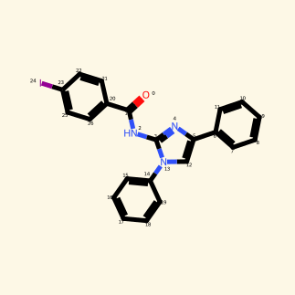 O=C(Nc1nc(-c2ccccc2)cn1-c1ccccc1)c1ccc(I)cc1